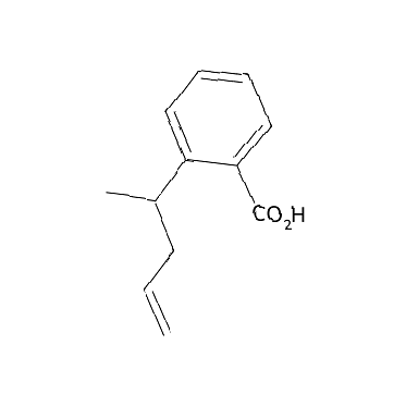 C=CCC(C)c1ccccc1C(=O)O